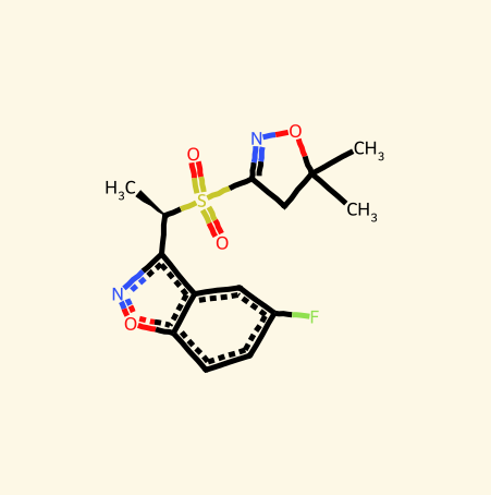 C[C@H](c1noc2ccc(F)cc12)S(=O)(=O)C1=NOC(C)(C)C1